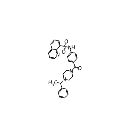 CC(c1ccccc1)N1CCN(C(=O)c2ccc(NS(=O)(=O)c3cccc4cccnc34)cc2)CC1